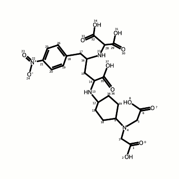 O=C(O)CN(CC(=O)O)C1CCC(NC(CC(Cc2ccc([N+](=O)[O-])cc2)NC(C(=O)O)C(=O)O)C(=O)O)CC1